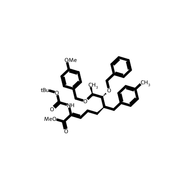 COC(=O)C(=CCC[C@H](Cc1ccc(C)cc1)[C@@H](OCc1ccccc1)[C@H](C)OCc1ccc(OC)cc1)NC(=O)OC(C)(C)C